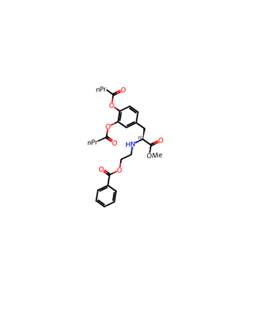 CCCC(=O)Oc1ccc(C[C@H](NCCOC(=O)c2ccccc2)C(=O)OC)cc1OC(=O)CCC